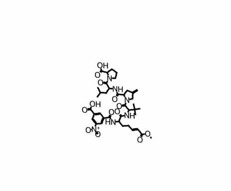 C=C1CC(C(=O)NC(CC(C)C)C(=O)N2CCCC2C(=O)O)N(C(=O)C(NC(=O)C(CC/C=C/C(=O)OC)NC(=O)c2cc(C(=O)O)cc([N+](=O)[O-])c2)C(C)(C)C)C1